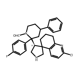 O=CN1CCC(c2ccccc2)CC1(c1ccc(F)cc1)[C@@H]1CNCC12CCCc1nc(Cl)ccc12